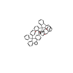 c1ccc(C2(c3ccccc3)c3ccccc3Oc3ccc(N(c4ccc5ccccc5c4)c4ccccc4C4(c5ccccc5)c5ccccc5-c5ccccc54)cc32)cc1